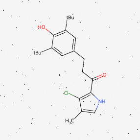 Cc1c[nH]c(C(=O)CCc2cc(C(C)(C)C)c(O)c(C(C)(C)C)c2)c1Cl